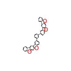 c1cc(-c2ccc3oc4cc5oc6ccccc6c5cc4c3c2)cc(-c2ccc3oc4cc5oc6ccccc6c5cc4c3c2)c1